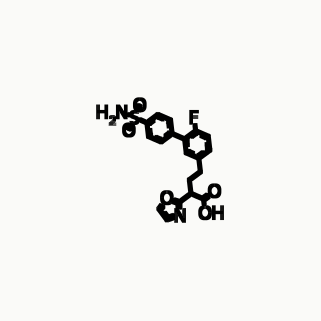 NS(=O)(=O)c1ccc(-c2cc(CCC(C(=O)O)c3ncco3)ccc2F)cc1